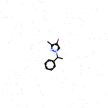 Cc1nn(C(C)c2ccccc2)cc1I